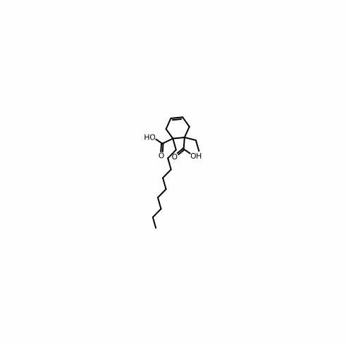 CCCCCCCCCC1(C(=O)O)CC=CCC1(CC)C(=O)O